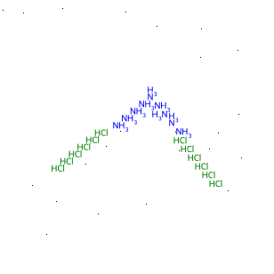 Cl.Cl.Cl.Cl.Cl.Cl.Cl.Cl.Cl.Cl.Cl.Cl.N.N.N.N.N.N.N.N.N